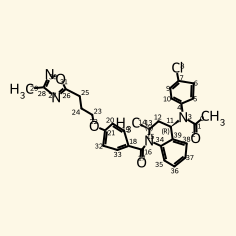 CC(=O)N(c1ccc(Cl)cc1)[C@@H]1C[C@H](C)N(C(=O)c2ccc(OCCCc3nc(C)no3)cc2)c2ccccc21